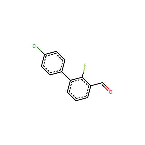 O=Cc1cccc(-c2ccc(Cl)cc2)c1F